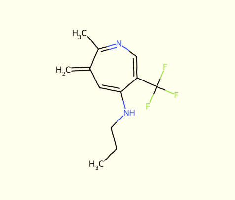 C=C1C=C(NCCC)C(C(F)(F)F)=CN=C1C